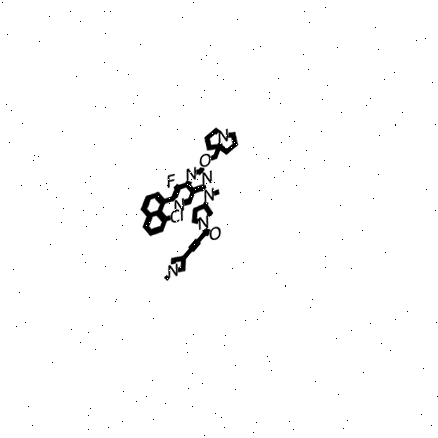 CN1CC(C#CC(=O)N2CCC(N(C)c3nc(OCC45CCCN4CCC5)nc4c(F)c(-c5cccc6cccc(Cl)c56)ncc34)C2)C1